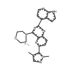 Cc1cnn(C)c1-c1ccc2nc(-c3ccnc4[nH]ccc34)nc(N3CCOC[C@H]3C)c2n1